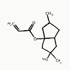 C=CC(=O)OC12CC(C)CC1CC(C)(O)C2